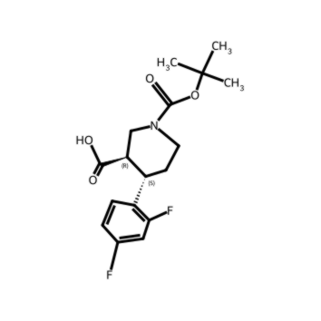 CC(C)(C)OC(=O)N1CC[C@H](c2ccc(F)cc2F)[C@@H](C(=O)O)C1